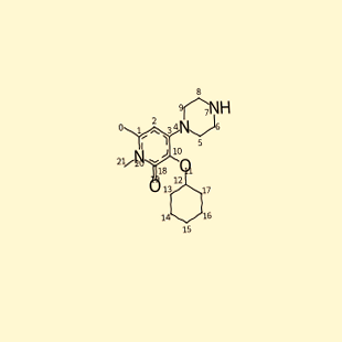 Cc1cc(N2CCNCC2)c(OC2CCCCC2)c(=O)n1C